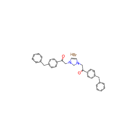 Br.O=C(CN1C=CN(CC(=O)c2ccc(Cc3ccccc3)cc2)C1)c1ccc(Cc2ccccc2)cc1